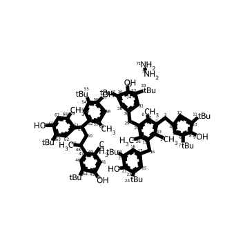 Cc1c(Cc2cc(C(C)(C)C)c(O)c(C(C)(C)C)c2)c(C)c(Cc2cc(C(C)(C)C)c(O)c(C(C)(C)C)c2)c(C)c1Cc1cc(C(C)(C)C)c(O)c(C(C)(C)C)c1.Cc1cc(O)c(C(C)(C)C)cc1C(C)CC(c1cc(C(C)(C)C)c(O)cc1C)c1cc(C(C)(C)C)c(O)cc1C.NN